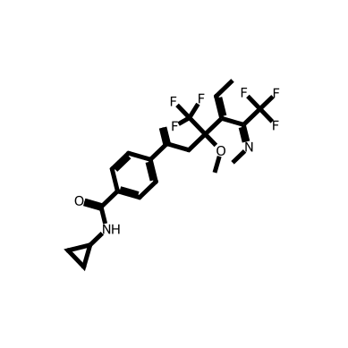 C=C(CC(OC)(C(=C/C)/C(=N\C)C(F)(F)F)C(F)(F)F)c1ccc(C(=O)NC2CC2)cc1